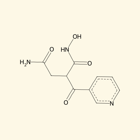 NC(=O)CC(C(=O)NO)C(=O)c1cccnc1